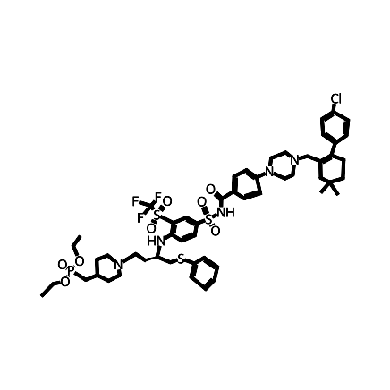 CCOP(=O)(CC1CCN(CC[C@H](CSc2ccccc2)Nc2ccc(S(=O)(=O)NC(=O)c3ccc(N4CCN(CC5=C(c6ccc(Cl)cc6)CCC(C)(C)C5)CC4)cc3)cc2S(=O)(=O)C(F)(F)F)CC1)OCC